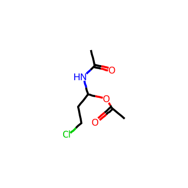 CC(=O)NC(CCCl)OC(C)=O